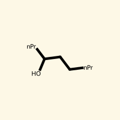 [CH2]CCCCC(O)CCC